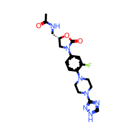 CC(=O)NC[C@H]1CN(c2ccc(N3CCN(c4nc[nH]n4)CC3)c(F)c2)C(=O)O1